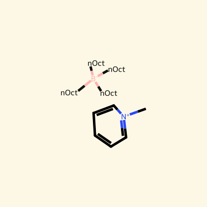 CCCCCCCC[B-](CCCCCCCC)(CCCCCCCC)CCCCCCCC.C[n+]1ccccc1